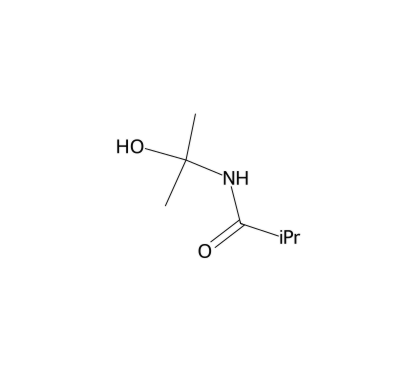 CC(C)C(=O)NC(C)(C)O